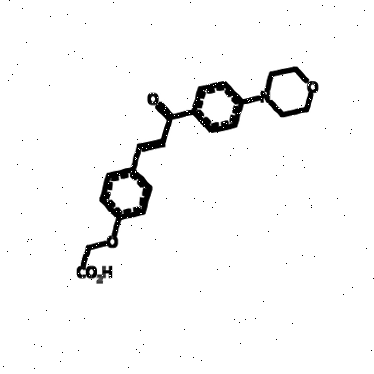 O=C(O)COc1ccc(C=CC(=O)c2ccc(N3CCOCC3)cc2)cc1